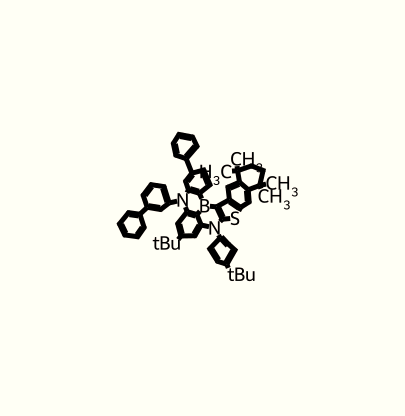 CC(C)(C)c1ccc(N2c3cc(C(C)(C)C)cc4c3B(c3ccc(-c5ccccc5)cc3N4c3cccc(-c4ccccc4)c3)c3c2sc2cc4c(cc32)C(C)(C)CCC4(C)C)cc1